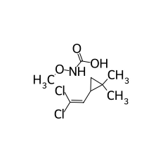 CC1(C)CC1C=C(Cl)Cl.CONC(=O)O